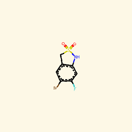 O=S1(=O)Cc2cc(Br)c(F)cc2N1